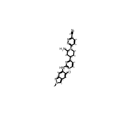 Cn1cc2cc(Cl)c(Nc3nccc(C4CCN(c5ccc(C#N)nn5)C(N)C4)n3)cc2n1